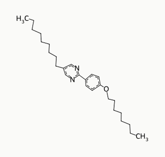 CCCCCCCCCc1cnc(-c2ccc(OCCCCCCCC)cc2)nc1